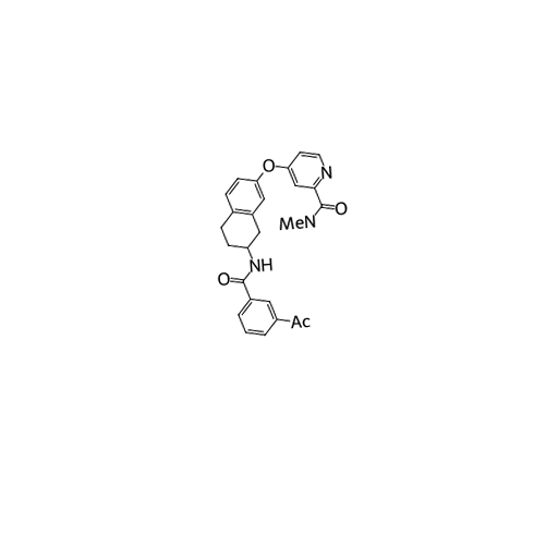 CNC(=O)c1cc(Oc2ccc3c(c2)CC(NC(=O)c2cccc(C(C)=O)c2)CC3)ccn1